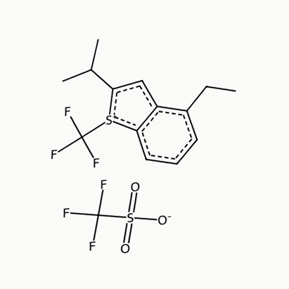 CCc1cccc2c1cc(C(C)C)[s+]2C(F)(F)F.O=S(=O)([O-])C(F)(F)F